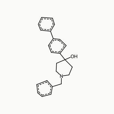 OC1(c2ccc(-c3ccccc3)cc2)CCN(Cc2ccccc2)CC1